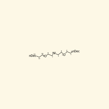 CCCCCCCCCCCCOCC[N]CCOCCCCCCCCCCCC